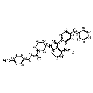 Nc1ncnc2c1c(-c1ccc(Oc3ccccc3)cc1)nn2[C@@H]1CCCN(C(=O)CCc2ccc(O)cc2)C1